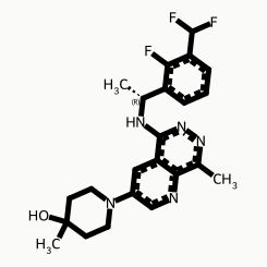 Cc1nnc(N[C@H](C)c2cccc(C(F)F)c2F)c2cc(N3CCC(C)(O)CC3)cnc12